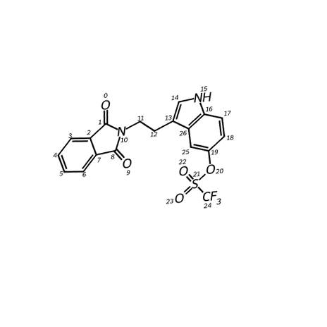 O=C1c2ccccc2C(=O)N1CCc1c[nH]c2ccc(OS(=O)(=O)C(F)(F)F)cc12